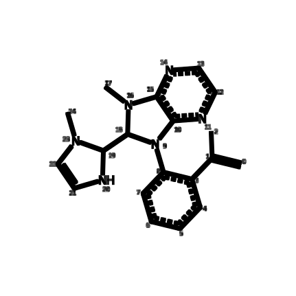 C=C(C)c1ccccc1N1c2nccnc2N(C)C1C1NC=CN1C